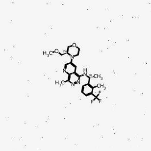 COC[C@H]1COCCN1c1cnc2c(C)nnc(N[C@H](C)c3cccc(C(F)(F)F)c3C)c2c1